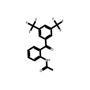 CC(=O)Nc1ccccc1C(=O)c1cc(C(F)(F)F)cc(C(F)(F)F)c1